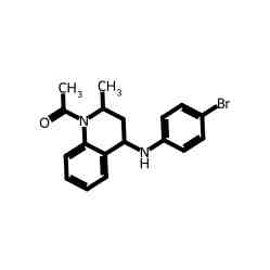 CC(=O)N1c2ccccc2C(Nc2ccc(Br)cc2)CC1C